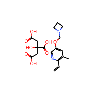 C=Cc1ncc(OCN2CCC2)cc1C.O=C(O)CC(O)(CC(=O)O)C(=O)O